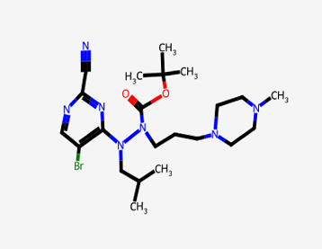 CC(C)CN(c1nc(C#N)ncc1Br)N(CCCN1CCN(C)CC1)C(=O)OC(C)(C)C